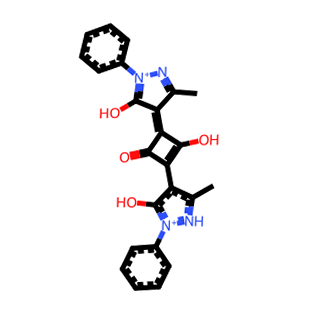 CC1=N[N+](c2ccccc2)=C(O)/C1=C1\C(=O)C(c2c(C)[nH][n+](-c3ccccc3)c2O)=C1O